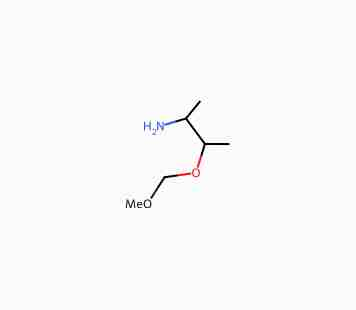 COCOC(C)C(C)N